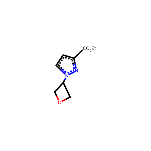 CCOC(=O)c1ccn(C2COC2)n1